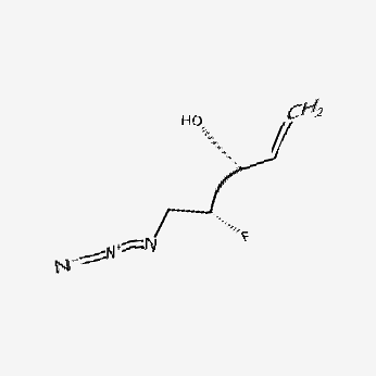 C=C[C@@H](O)[C@H](F)CN=[N+]=[N-]